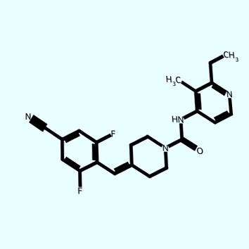 CCc1nccc(NC(=O)N2CCC(=Cc3c(F)cc(C#N)cc3F)CC2)c1C